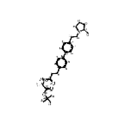 C[C@H](NC(=O)CCc1ccc(-c2ccc(CCN3CCC[C@H]3C)cc2)cc1)C(=O)OC(C)(C)C